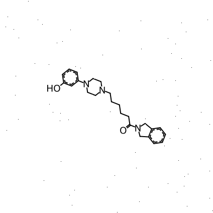 O=C(CCCCCN1CCN(c2cccc(O)c2)CC1)N1Cc2ccccc2C1